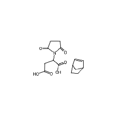 C1=CC2CCC1C2.O=C(O)CC(C(=O)O)N1C(=O)CCC1=O